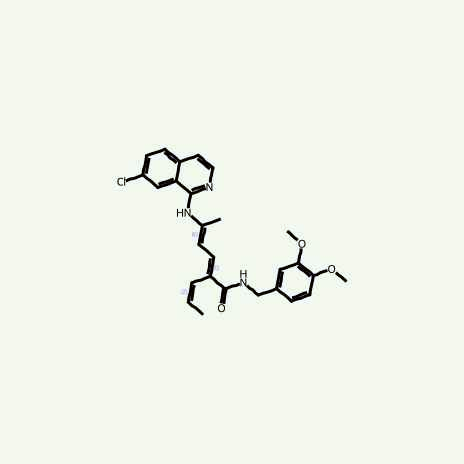 C\C=C/C(=C\C=C(/C)Nc1nccc2ccc(Cl)cc12)C(=O)NCc1ccc(OC)c(OC)c1